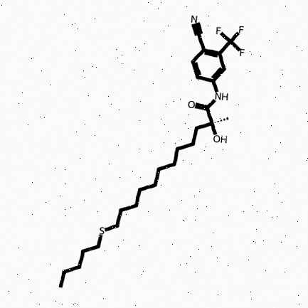 CCCCCSCCCCCCCCCC[C@](C)(O)C(=O)Nc1ccc(C#N)c(C(F)(F)F)c1